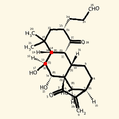 C=C1C(=O)[C@]23[C@H](O)[C@H]1CC[C@H]2[C@@]12CO[C@@]3(O)[C@@H](O)[C@@H]1C(C)(C)C[C@H](CCC=O)C2=O